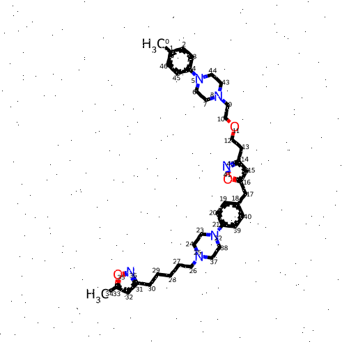 Cc1ccc(N2CCN(CCOCCc3cc(Cc4ccc(N5CCN(CCCCCc6cc(C)on6)CC5)cc4)on3)CC2)cc1